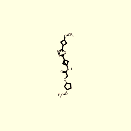 O=C(CO[C@@H]1CC[C@H](OC(F)(F)F)C1)NC12CC(c3nnc(C4CC(OC(F)(F)F)C4)o3)(C1)C2